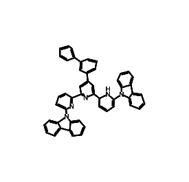 C1=CC(c2cc(-c3cccc(-c4ccccc4)c3)cc(-c3cccc(-n4c5ccccc5c5ccccc54)n3)n2)NC(n2c3ccccc3c3ccccc32)=C1